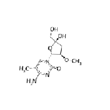 CO[C@@H]1C[C@@](O)(CO)O[C@H]1n1cc(C)c(N)nc1=O